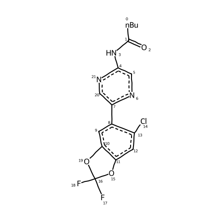 CCCCC(=O)Nc1cnc(-c2cc3c(cc2Cl)OC(F)(F)O3)cn1